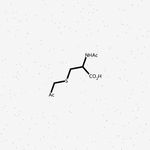 CC(=O)CSCC(NC(C)=O)C(=O)O